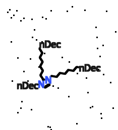 CCCCCCCCCCCCCCCCCC1N(CCCCCCCCCC)C=CN1CCCCCCCCCCCCCCCCC